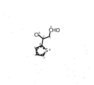 O=CCC(Cl)c1cccs1